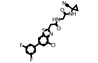 N#CC1(NC(=O)CNC(=O)Cc2nc3c(Cl)cc(-c4cc(F)cc(F)c4)cc3s2)CC1